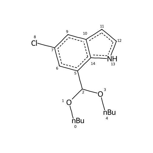 CCCCOC(OCCCC)c1cc(Cl)cc2cc[nH]c12